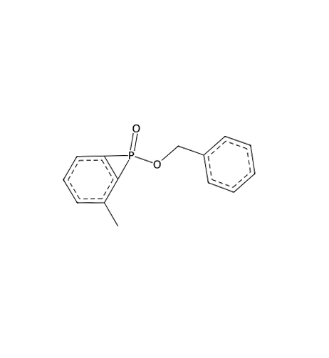 Cc1cccc2c1P2(=O)OCc1ccccc1